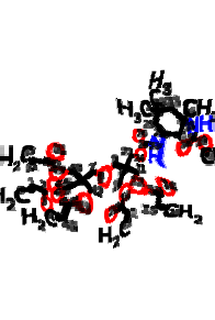 C=CC(=O)OCC(COCC(COC(=O)C=C)(COC(=O)C=C)COC(=O)NC1CC(C)(C)CC(C)(NC(=O)OC)C1)(COC(=O)C=C)COC(=O)C=C